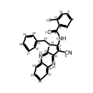 N#CC1=C(NC(=O)c2ccccc2I)I(Cc2ccccc2)c2nc3ccccc3nc21